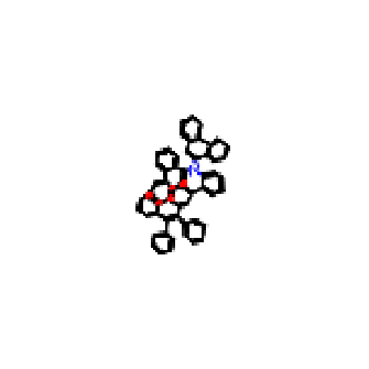 c1ccc(-c2c(-c3ccccc3)c3cc(-c4ccccc4N(c4cc5ccccc5c5ccccc45)c4cc5ccccc5c5ccccc45)ccc3c3ccccc23)cc1